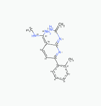 C=C(N)/N=C1/N=C(c2ccccc2C)C=C/C1=C(/N)NC